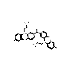 CCN(CC)CCN1c2ccc(F)cc2Sc2ccc(C(C(=O)O)c3ccc4c(c3)N(CCN(CC)CC)c3ccc(F)cc3S4)cc21